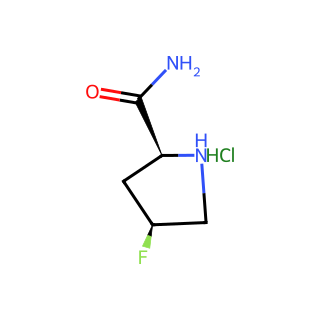 Cl.NC(=O)[C@@H]1C[C@H](F)CN1